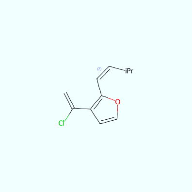 C=C(Cl)c1ccoc1/C=C\C(C)C